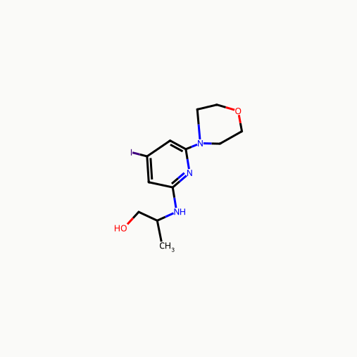 CC(CO)Nc1cc(I)cc(N2CCOCC2)n1